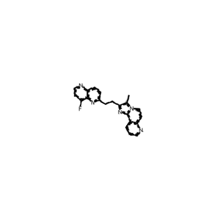 Cc1c(CCc2ccc3nccc(F)c3n2)nc2c3cccnc3ccn12